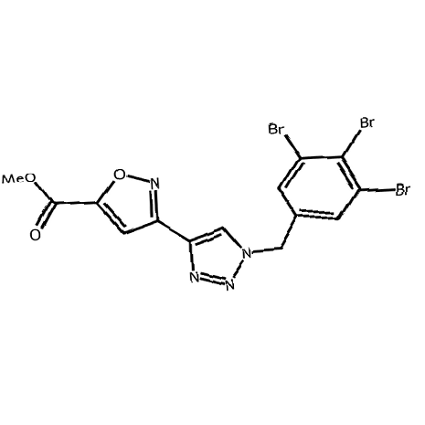 COC(=O)c1cc(-c2cn(Cc3cc(Br)c(Br)c(Br)c3)nn2)no1